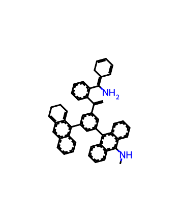 C=C(c1cc(-c2c3c(cc4ccccc24)=CCCC=3)cc(-c2c3ccccc3c(NC)c3ccccc23)c1)c1ccccc1/C(N)=C1/C=CC=CC1